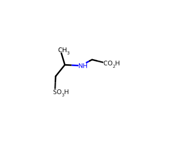 CC(CS(=O)(=O)O)NCC(=O)O